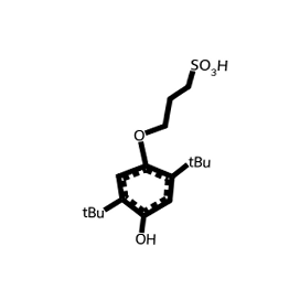 CC(C)(C)c1cc(OCCCS(=O)(=O)O)c(C(C)(C)C)cc1O